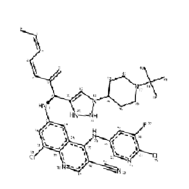 C=C(/C=C\C=C/C)[C@H](Nc1cc(Cl)c2ncc(C#N)c(Nc3cnc(Cl)c(F)c3)c2c1)C1=CN(C2CCN(C(C)(C)C)CC2)NN1